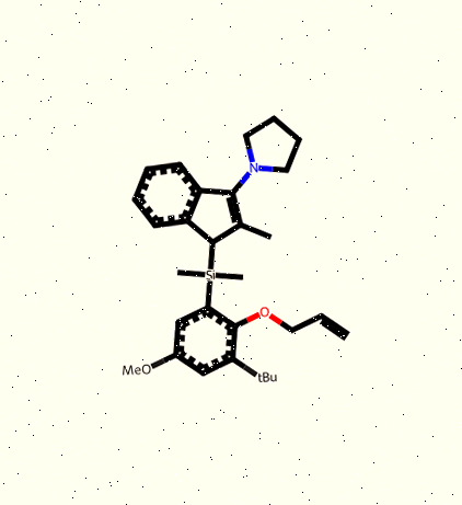 C=CCOc1c(C(C)(C)C)cc(OC)cc1[Si](C)(C)C1C(C)=C(N2CCCC2)c2ccccc21